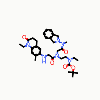 CCN(CCN(CC(=O)N(C)N1Cc2ccccc2C1)C(=O)CNc1cc2c(cc1C)N(CC)C(=O)CC2)C(=O)OC(C)(C)C